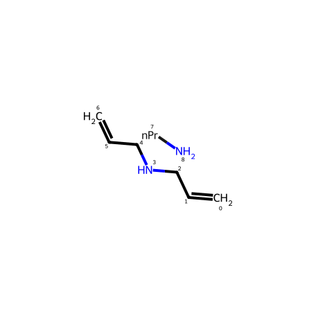 C=CCNCC=C.CCCN